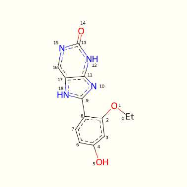 CCOc1cc(O)ccc1-c1nc2[nH]c(=O)ncc2[nH]1